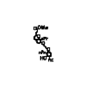 CCCc1c(OCCCOc2ccc3c(c2CCC)OC(CCC(=O)OC)C=C3)ccc(C(C)=O)c1O